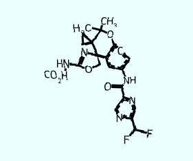 CC1(C)Oc2ccc(NC(=O)c3cnc(C(F)F)cn3)cc2[C@@]2(COC(NC(=O)O)=N2)C12CC2